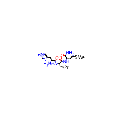 CSCC[C@H](NC(=O)[C@H](CC(C)C)NC(=O)[C@@H](N)Cc1c[nH]cn1)C(N)=O